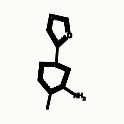 Cc1ccc(-c2ccco2)cc1N